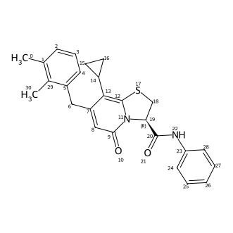 Cc1cccc(Cc2cc(=O)n3c(c2C2CC2)SC[C@H]3C(=O)Nc2ccccc2)c1C